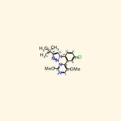 COc1ncc(OC)c(-c2cc(Cl)ccc2-n2cc([Si](C)(C)C)nn2)n1